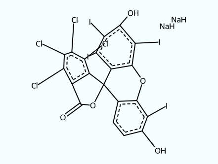 O=C1OC2(c3ccc(O)c(I)c3Oc3c(I)c(O)c(I)c(I)c32)c2c(Cl)c(Cl)c(Cl)c(Cl)c21.[NaH].[NaH]